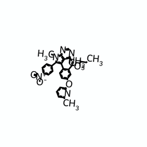 CCCOC(C)c1cc(Oc2cccc(C)n2)ccc1-c1c(-c2ccc([N+](=O)[O-])cc2)n(C)c2ncnc(N)c12